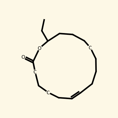 CCC1CCCCCCCC=CCCCCC(=O)O1